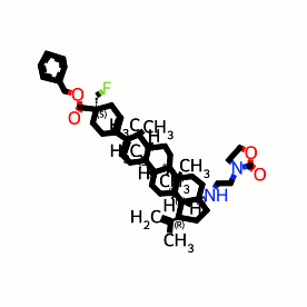 C=C(C)[C@@H]1CC[C@]2(NCCN3CCOC3=O)CC[C@]3(C)[C@H](CC[C@@H]4[C@@]5(C)CC=C(C6=CC[C@](CF)(C(=O)OCc7ccccc7)CC6)C(C)(C)[C@@H]5CC[C@]43C)[C@@H]12